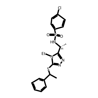 CCn1c(SC(C)c2ccccc2)nnc1[C@@H](C)NS(=O)(=O)c1ccc(Cl)cc1